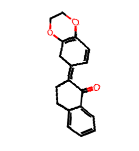 O=C1C(=C2C=CC3=C(C2)OCCO3)CCc2ccccc21